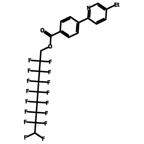 CCc1ccc(-c2ccc(C(=O)OCC(F)(F)C(F)(F)C(F)(F)C(F)(F)C(F)(F)C(F)(F)C(F)(F)C(F)F)cc2)nc1